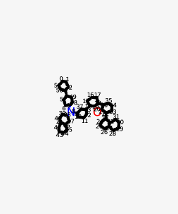 c1ccc(-c2ccc(N(c3cccc(-c4cccc5c4oc4c(-c6cccc7ccccc67)cccc45)c3)c3ccc4ccccc4c3)cc2)cc1